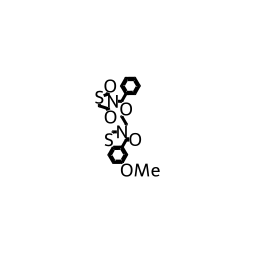 COc1ccc2c(c1)C(=O)N(CCOC(c1ccccc1)N1C(=O)CSC1=O)CS2